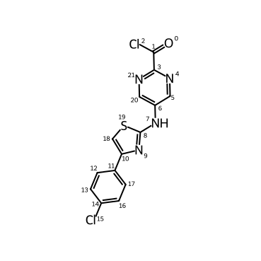 O=C(Cl)c1ncc(Nc2nc(-c3ccc(Cl)cc3)cs2)cn1